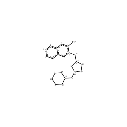 Clc1cc2cnccc2cc1S[C@H]1CCN(CC2CCCCC2)C1